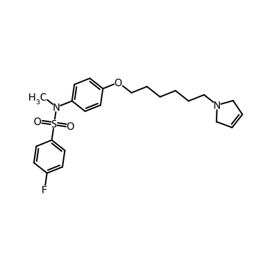 CN(c1ccc(OCCCCCCN2CC=CC2)cc1)S(=O)(=O)c1ccc(F)cc1